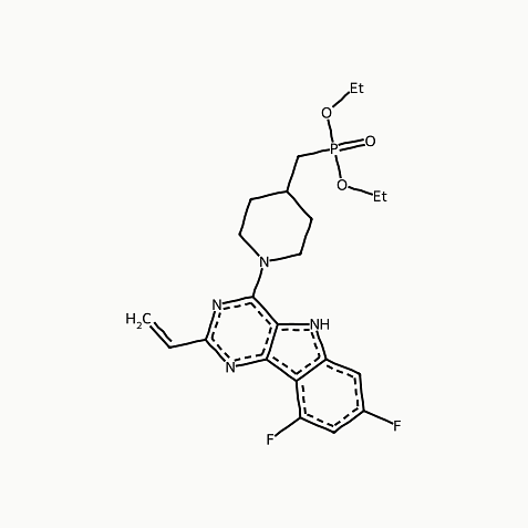 C=Cc1nc(N2CCC(CP(=O)(OCC)OCC)CC2)c2[nH]c3cc(F)cc(F)c3c2n1